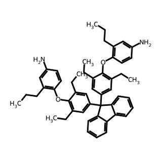 CCCc1cc(N)ccc1Oc1c(CC)cc(C2(c3cc(CC)c(Oc4ccc(N)cc4CCC)c(CC)c3)c3ccccc3-c3ccccc32)cc1CC